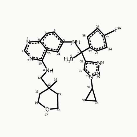 BC(Nc1ccc2ncnc(NCC3(C)CCOCC3)c2c1)(c1ccc(F)cc1)c1cn(C2CC2)nn1